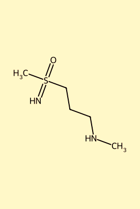 CNCCCS(C)(=N)=O